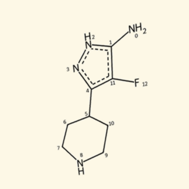 Nc1[nH]nc(C2CCNCC2)c1F